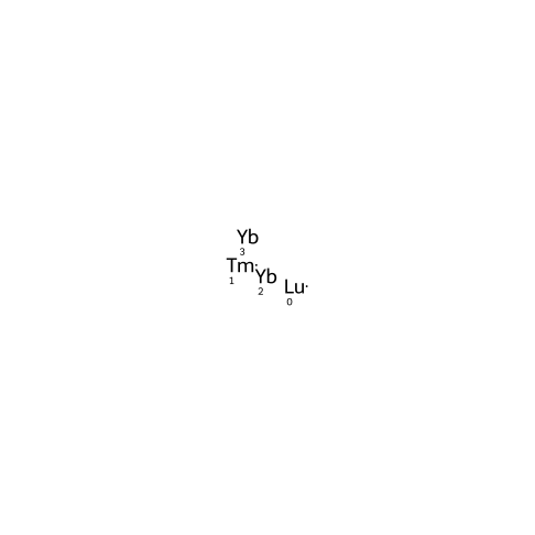 [Lu].[Tm].[Yb].[Yb]